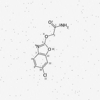 NC(=O)COc1nc2ccc(Cl)cc2o1